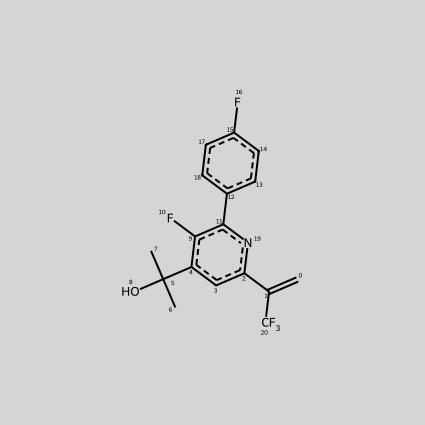 C=C(c1cc(C(C)(C)O)c(F)c(-c2ccc(F)cc2)n1)C(F)(F)F